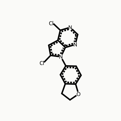 Clc1ncnc2c1cc(Cl)n2-c1ccc2c(c1)CCO2